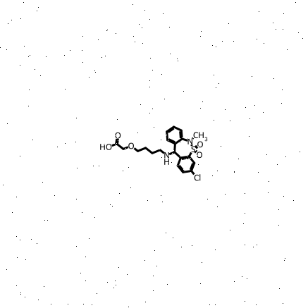 CN1c2ccccc2C(NCCCCOCC(=O)O)c2ccc(Cl)cc2S1(=O)=O